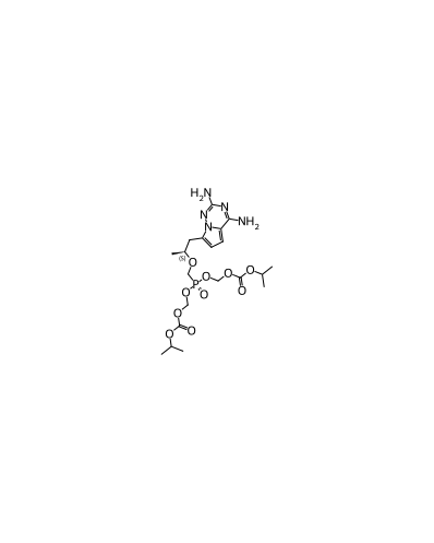 CC(C)OC(=O)OCOP(=O)(CO[C@@H](C)Cc1ccc2c(N)nc(N)nn12)OCOC(=O)OC(C)C